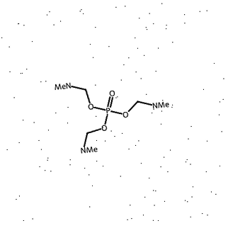 CNCOP(=O)(OCNC)OCNC